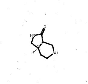 O=C1NC[C@@H]2CCNCC12